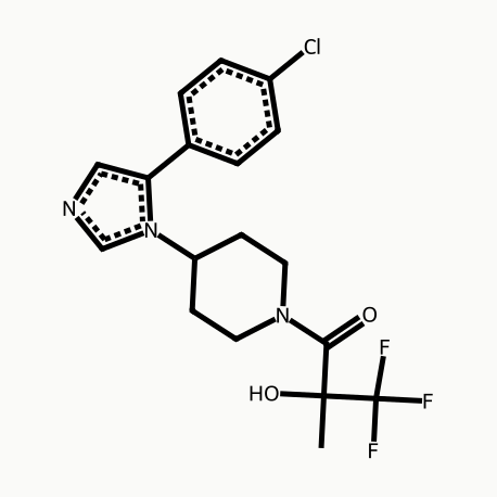 CC(O)(C(=O)N1CCC(n2cncc2-c2ccc(Cl)cc2)CC1)C(F)(F)F